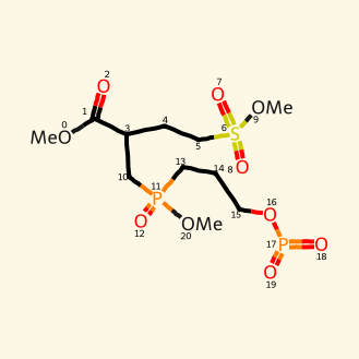 COC(=O)C(CCS(=O)(=O)OC)CP(=O)(CCCOP(=O)=O)OC